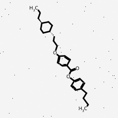 CCCCc1ccc(OC(=O)c2ccc(OCCC[C@H]3CC[C@H](CCC)CC3)cc2)cc1